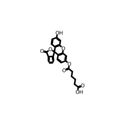 O=C(O)CCCCC(=O)Oc1ccc2c(c1)Oc1cc(O)ccc1C21OC(=O)c2ccccc21